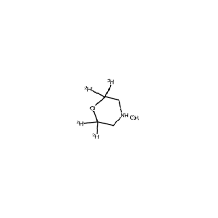 Cl.[2H]C1([2H])CNCC([2H])([2H])O1